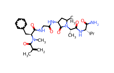 C=C(C)C(=O)N(C)[C@@H](Cc1ccccc1)C(=O)NCC(=O)N[C@H]1CC(C)N([C@@H](C)C(=O)N[C@H](C(N)=O)C(C)C)C1=O